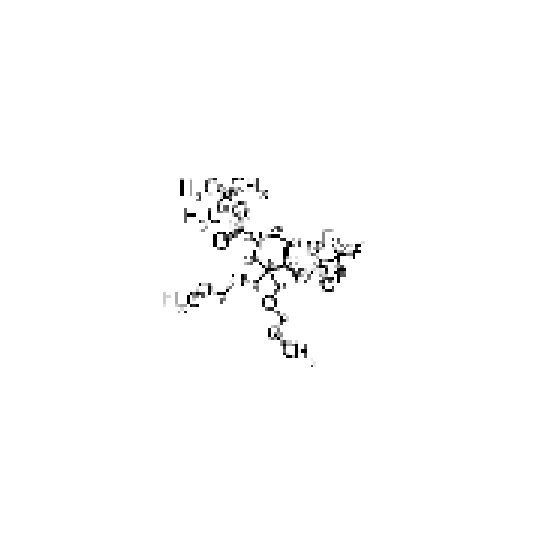 COCOCC1(COCOC)CN(C(=O)OC(C)(C)C)CC=C1OS(=O)(=O)C(F)(F)F